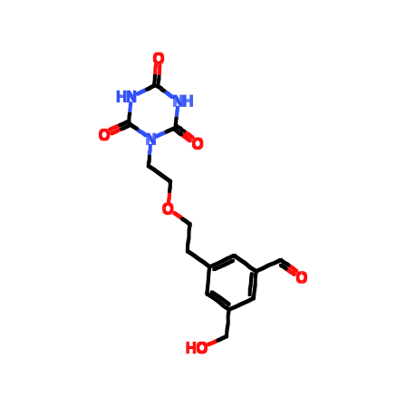 O=Cc1cc(CO)cc(CCOCCn2c(=O)[nH]c(=O)[nH]c2=O)c1